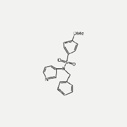 COc1ccc(S(=O)(=O)N(Cc2ccccc2)c2cccnc2)cc1